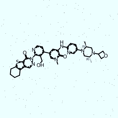 C[C@@H]1CN(c2ccc(Nc3cc(-c4ccnc(-n5ncc6c7c(sc6c5=O)CCCC7)c4CO)cn(C)c3=O)nc2)[C@@H](C)CN1C1COC1